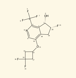 O[C@H]1c2c(C(F)(F)F)ncc(OC3CC(F)(F)C3)c2C[C@H]1F